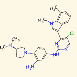 Cc1cccc2c(-c3nc(Nc4ccc(N5CC[C@@H](N(C)C)C5)c(N)c4)ncc3Cl)cn(C)c12